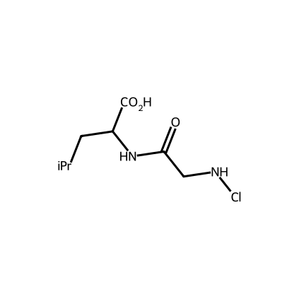 CC(C)CC(NC(=O)CNCl)C(=O)O